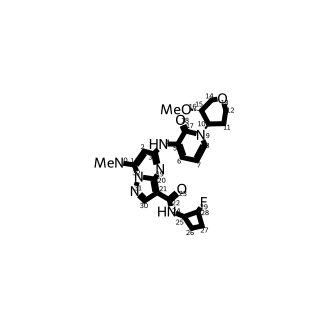 CNc1cc(Nc2cccn([C@H]3CCOC[C@H]3OC)c2=O)nc2c(C(=O)NC3CCC3F)cnn12